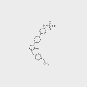 CCc1ccc(CN2CC[C@@H](N3CCC(c4ccc(NS(C)(=O)=O)cc4)CC3)C2=O)cc1